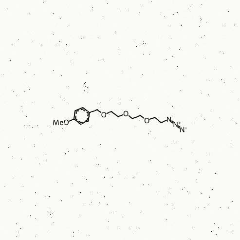 COc1ccc(COCCOCCOCCN=[N+]=[N-])cc1